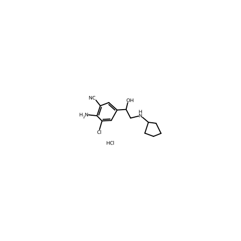 Cl.N#Cc1cc(C(O)CNC2CCCC2)cc(Cl)c1N